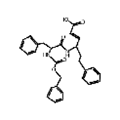 O=C(O)C=CC(CCc1ccccc1)NC(=O)C(Cc1ccccc1)NC(=O)OCc1ccccc1